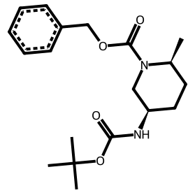 C[C@H]1CC[C@@H](NC(=O)OC(C)(C)C)CN1C(=O)OCc1ccccc1